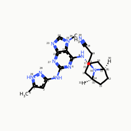 Cc1cc(Nc2nc(N[C@@H]3C[C@H]4CC[C@@H](C3)N4CCC#N)c3c(ncn3C)n2)n[nH]1